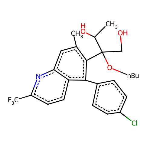 CCCCOC(CO)(c1c(C)cc2nc(C(F)(F)F)ccc2c1-c1ccc(Cl)cc1)C(C)O